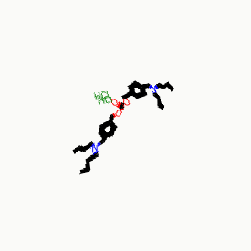 CCCCN(CCCC)Cc1ccc(COC(=O)OCc2ccc(CN(CCCC)CCCC)cc2)cc1.Cl.Cl